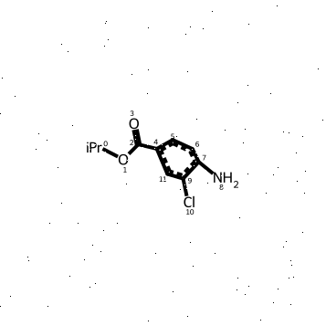 CC(C)OC(=O)c1ccc(N)c(Cl)c1